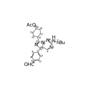 CCCCNc1ncc2c(-c3ccc(C=O)cc3)nc(C3CCC(OC(C)=O)CC3)n2n1